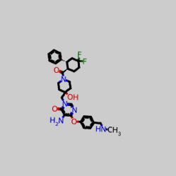 CNCc1ccc(Oc2ncn(CC3(O)CCN(C(=O)[C@@H]4CCC(F)(F)C[C@H]4c4ccccc4)CC3)c(=O)c2N)cc1